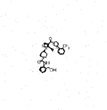 O=C(Nc1ccccc1CO)N1CCC(n2ncc(C(=O)N3CC[C@@H](c4ccccc4C(F)(F)F)C3)c2C2CC2)CC1